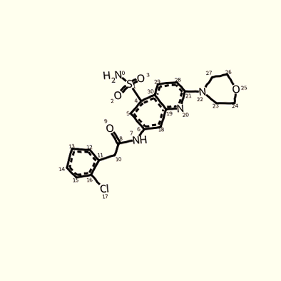 NS(=O)(=O)c1cc(NC(=O)Cc2ccccc2Cl)cc2nc(N3CCOCC3)ccc12